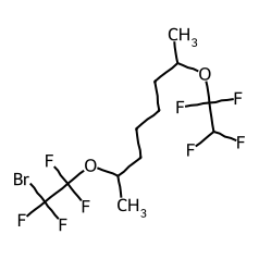 CC(CCCCC(C)OC(F)(F)C(F)(F)Br)OC(F)(F)C(F)F